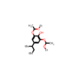 CCOC(C)Oc1cc(C(CC(C)(C)C)C(C)(C)C)cc(OC(C)OCC)c1O